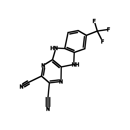 N#Cc1nc2c(nc1C#N)Nc1cc(C(F)(F)F)ccc1N2